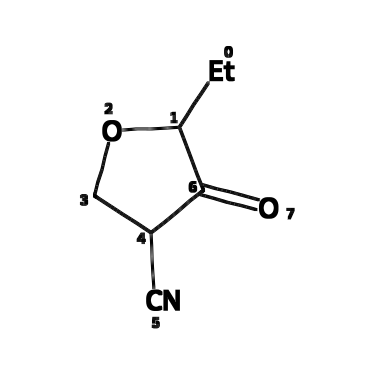 CCC1OCC(C#N)C1=O